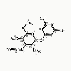 CC(=O)OC[C@H]1O[C@H](Sc2cc(Cl)cc(Cl)c2)[C@H](OC(C)=O)[C@@H](N=[N+]=[N-])[C@H]1OC(C)=O